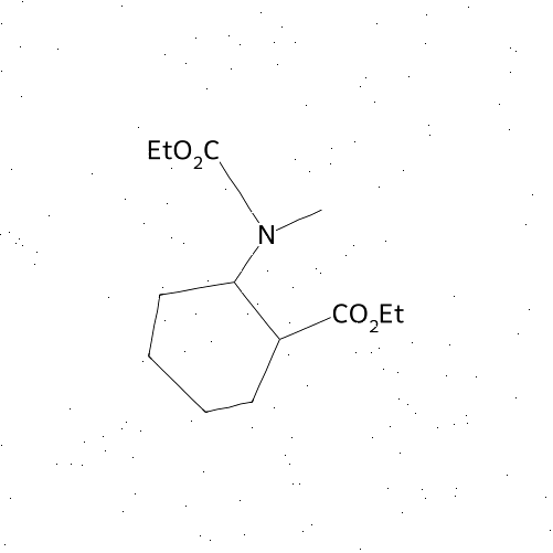 CCOC(=O)C1CCCCC1N(C)C(=O)OCC